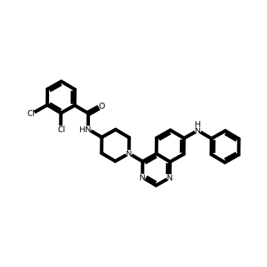 O=C(NC1CCN(c2ncnc3cc(Nc4ccccc4)ccc23)CC1)c1cccc(Cl)c1Cl